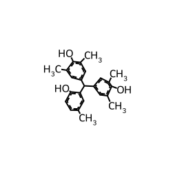 Cc1ccc(O)c(C(c2cc(C)c(O)c(C)c2)c2cc(C)c(O)c(C)c2)c1